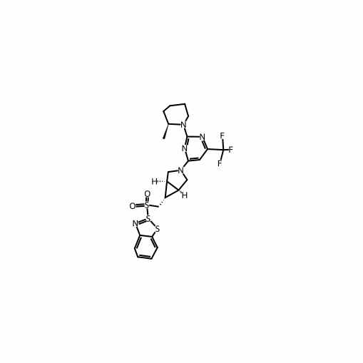 C[C@H]1CCCCN1c1nc(N2C[C@@H]3[C@H](C2)[C@H]3CS(=O)(=O)S2=Nc3ccccc3S2)cc(C(F)(F)F)n1